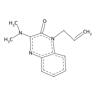 C=CCn1c(=O)c(N(C)C)nc2ccccc21